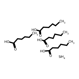 CCCCCC(=O)O.CCCCCC(=O)O.CCCCCC(=O)O.CCCCCC(=O)O.[SiH4]